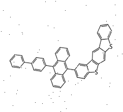 c1ccc(-c2ccc(-c3c4ccccc4c(-c4ccc5sc6cc7sc8ccccc8c7cc6c5c4)c4ccccc34)cc2)cc1